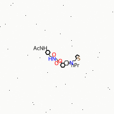 CCCN(CCc1cccs1)[C@H]1CCc2c(cccc2OC(=O)CNC(=O)Cc2ccc(NC(C)=O)cc2)C1